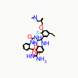 C=C(COc1cc(CC)cc(C(Nc2ccc(C(=N)N)cc2)c2nn(-c3ccccc3C(=O)O)c(=O)[nH]2)c1F)CN(C)C